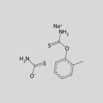 Cc1ccccc1OC(N)=S.NC([O-])=S.[Na+]